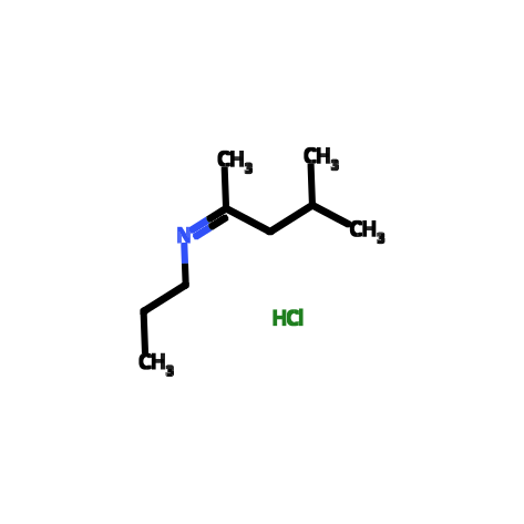 CCCN=C(C)CC(C)C.Cl